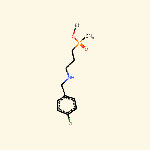 CCOP(C)(=O)CCCNCc1ccc(Cl)cc1